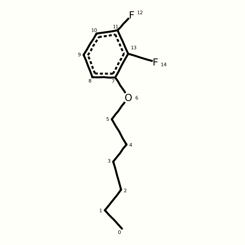 CCCCCCOc1cccc(F)c1F